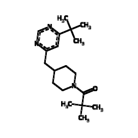 CC(C)(C)C(=O)N1CCC(Cc2cc(C(C)(C)C)ncn2)CC1